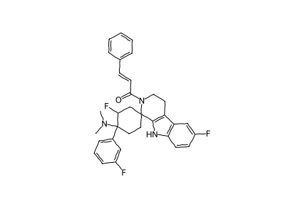 CN(C)C1(c2cccc(F)c2)CCC2(CC1F)c1[nH]c3ccc(F)cc3c1CCN2C(=O)C=Cc1ccccc1